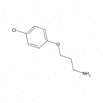 NCCCOc1ccc(Cl)cc1